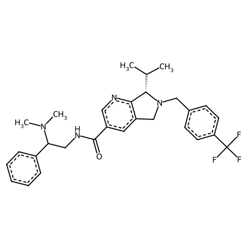 CC(C)[C@H]1c2ncc(C(=O)NCC(c3ccccc3)N(C)C)cc2CN1Cc1ccc(C(F)(F)F)cc1